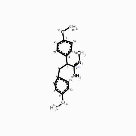 C/N=C(/N)C(Cc1ccc(OC)cc1)c1ccc(OC)cc1